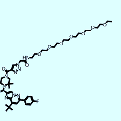 CCOCCOCCOCCOCCOCCOCCOCCNC(=O)Cn1cc(C(=O)N2CCN(C(=O)c3cn4nc(-c5ccc(F)cc5)cc(C(C)(C)C)c4n3)C(C)(C)C2)nn1